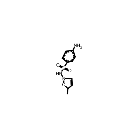 CC1C=CN(NS(=O)(=O)c2ccc(N)cc2)O1